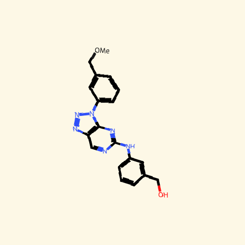 COCc1cccc(-n2nnc3cnc(Nc4cccc(CO)c4)nc32)c1